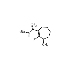 C=C(NC(C)(C)C)C1=C(F)C(C)CCCC1